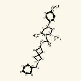 CCOc1ccc(N2C[C@@H](C)N(C(=O)OC3CC4(C3)CN(Cc3ccccc3)C4)[C@@H](C)C2)cc1